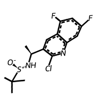 C[C@H](N[S@+]([O-])C(C)(C)C)c1cc2c(F)cc(F)cc2nc1Cl